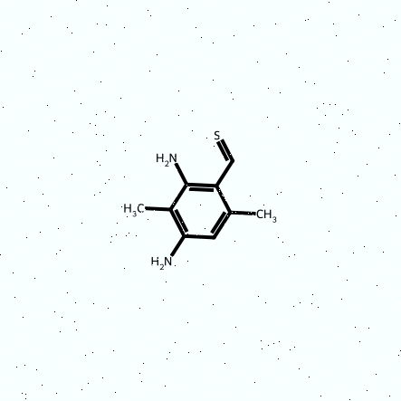 Cc1cc(N)c(C)c(N)c1C=S